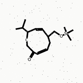 CC(C)C1C=CC(CO[Si](C)(C)C)CC=CC(=O)CC1